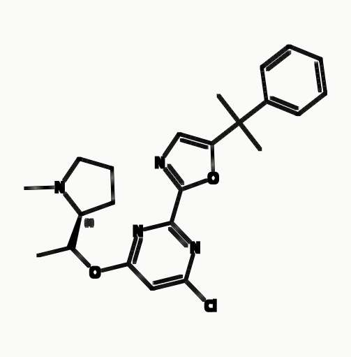 CC(Oc1cc(Cl)nc(-c2ncc(C(C)(C)c3ccccc3)o2)n1)[C@@H]1CCCN1C